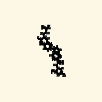 CC1=Nc2ccc(-c3ccn4nc(NCC5CN(C)C[C@H]5F)ncc34)nc2CC1CCC(F)F